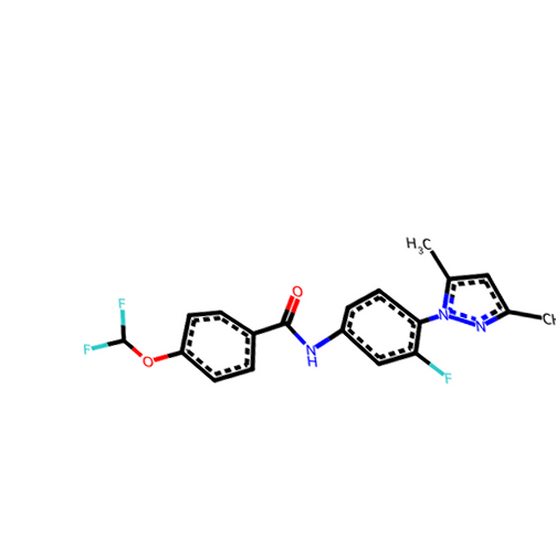 Cc1cc(C)n(-c2ccc(NC(=O)c3ccc(OC(F)F)cc3)cc2F)n1